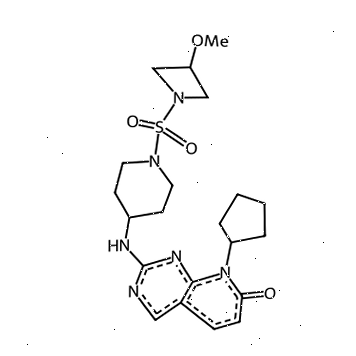 COC1CN(S(=O)(=O)N2CCC(Nc3ncc4ccc(=O)n(C5CCCC5)c4n3)CC2)C1